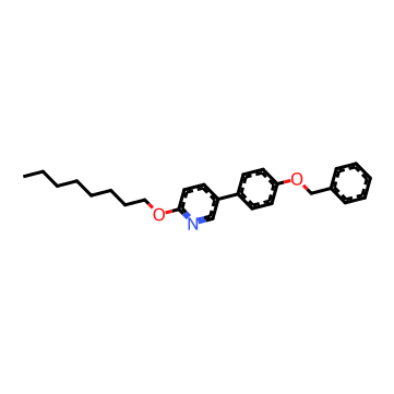 CCCCCCCCOc1ccc(-c2ccc(OCc3ccccc3)cc2)cn1